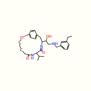 CCc1cccc(CNCC(O)C2Cc3ccc(cc3)OCCCCC(=O)NC(C(C)C)C(=O)N2)c1